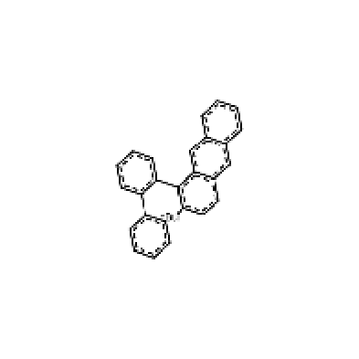 CC(C)(C)c1ccc2cc3ccccc3cc2c1-c1ccccc1-c1ccccc1